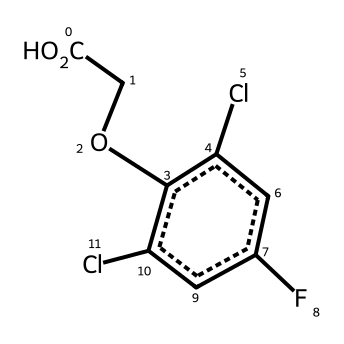 O=C(O)COc1c(Cl)cc(F)cc1Cl